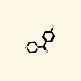 O=C(c1c[c]c(F)cc1)N1CCOCC1